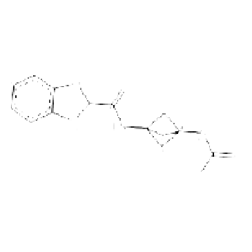 O=C(I)NC12CC(NC(=O)C3Oc4ccccc4O3)(C1)C2